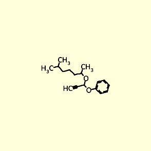 C#CC(Oc1ccccc1)OC(C)CCCC(C)C